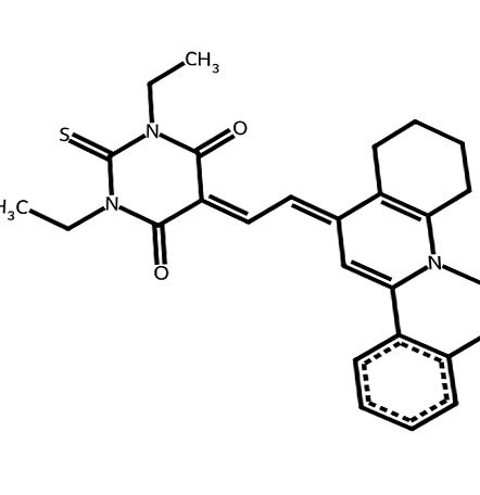 CCN1C(=O)C(=CC=C2C=C3c4ccccc4CCN3C3=C2CCCC3)C(=O)N(CC)C1=S